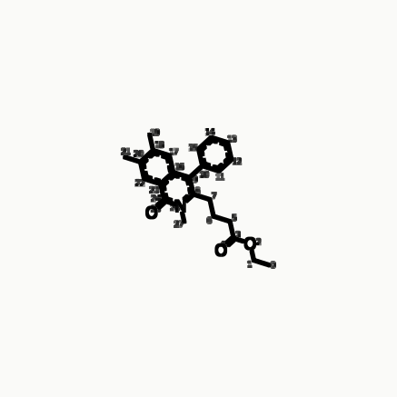 CCOC(=O)CCCc1c(-c2ccccc2)c2cc(C)c(C)cc2c(=O)n1C